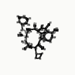 C[C@H]1NC(=O)C(C2CCC2)NC(=O)[C@H](C)[C@H](O)[C@H](Cc2cccnc2)NC(=O)[C@H]1NC(=O)c1ccccc1O